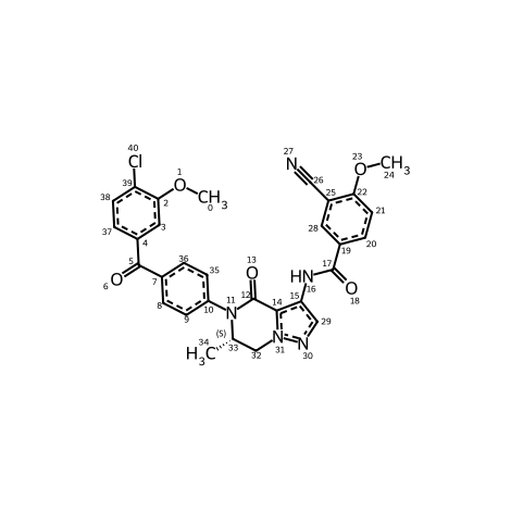 COc1cc(C(=O)c2ccc(N3C(=O)c4c(NC(=O)c5ccc(OC)c(C#N)c5)cnn4C[C@@H]3C)cc2)ccc1Cl